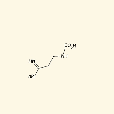 CCCC(=N)CCNC(=O)O